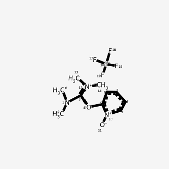 CN(C)C(Oc1cccc[n+]1[O-])=[N+](C)C.F[B-](F)(F)F